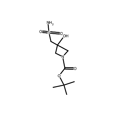 CC(C)(C)OC(=O)N1CC(O)(CS(N)(=O)=O)C1